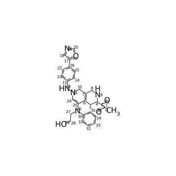 CS(=O)(=O)C1CC2=C(CN1)CN(Nc1ccc(-c3cnco3)cc1)C=C2N(CCO)c1ccccc1